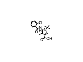 Cc1c(C(=O)O)nn(C(C)(C)C)c1NC(=O)c1ccccc1Cl